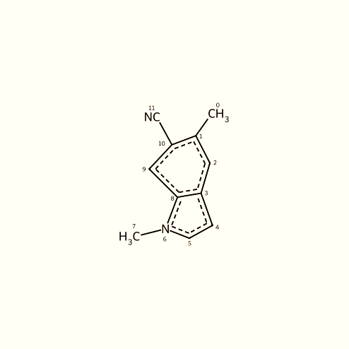 Cc1cc2ccn(C)c2cc1C#N